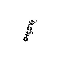 O=C(N1CCN(CC2=CCNC=N2)CC1)n1cc(-c2ccccc2)cn1